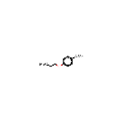 CNc1ccc(OCCOC)cc1